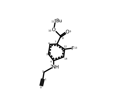 C#CCNc1ccc(C(=O)OC(C)(C)C)c(F)c1